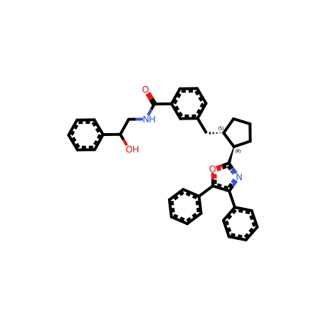 O=C(NCC(O)c1ccccc1)c1cccc(C[C@@H]2CCC[C@H]2c2nc(-c3ccccc3)c(-c3ccccc3)o2)c1